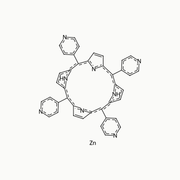 C1=Cc2nc1c(-c1ccncc1)c1ccc([nH]1)c(-c1ccncc1)c1nc(c(-c3ccncc3)c3ccc([nH]3)c2-c2ccncc2)C=C1.[Zn]